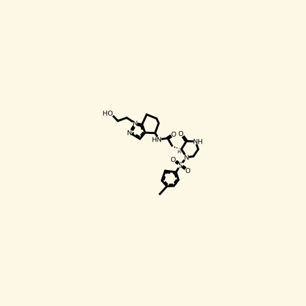 Cc1ccc(S(=O)(=O)N2CCNC(=O)[C@H]2CC(=O)NC2CCCc3c2cnn3CCO)cc1